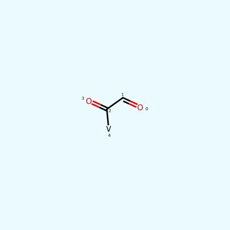 O=C[C](=O)[V]